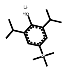 CC(C)c1cc([Si](C)(C)C)cc(C(C)C)c1O.[Li]